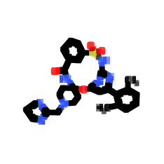 Cc1cccc(C)c1-c1cc2nc(n1)NS(=O)(=O)c1cccc(c1)C(=O)NC1(CCN(Cc3ncccn3)CC1)O2